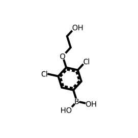 OCCOc1c(Cl)cc(B(O)O)cc1Cl